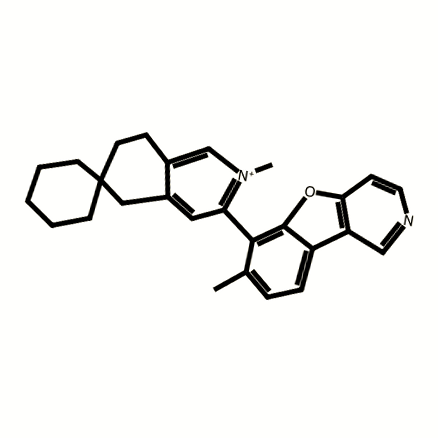 Cc1ccc2c(oc3ccncc32)c1-c1cc2c(c[n+]1C)CCC1(CCCCC1)C2